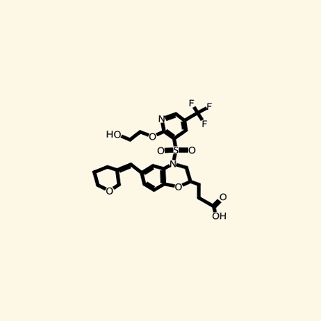 O=C(O)CCC1CN(S(=O)(=O)c2cc(C(F)(F)F)cnc2OCCO)c2cc(C=C3CCCOC3)ccc2O1